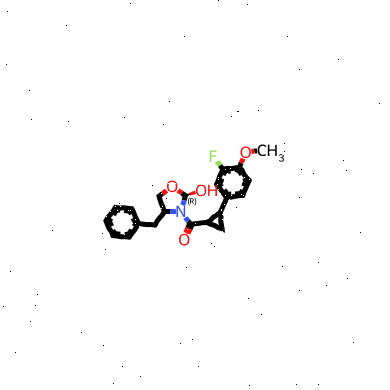 COc1ccc(C2CC2C(=O)N2C(Cc3ccccc3)CO[C@H]2O)cc1F